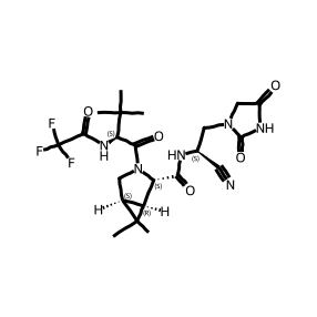 CC(C)(C)[C@H](NC(=O)C(F)(F)F)C(=O)N1C[C@H]2[C@@H]([C@H]1C(=O)N[C@H](C#N)CN1CC(=O)NC1=O)C2(C)C